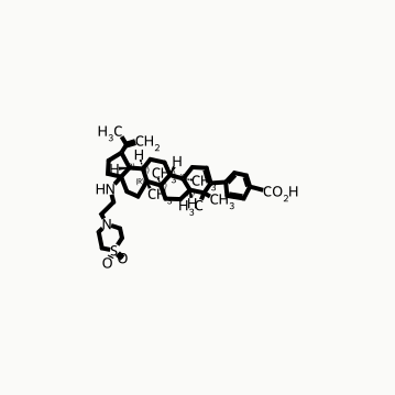 C=C(C)C1CCC2(NCCN3CCS(=O)(=O)CC3)CC[C@]3(C)[C@H](CC[C@@H]4[C@@]5(C)CC=C(c6ccc(C(=O)O)cc6)C(C)(C)[C@@H]5CC[C@]43C)[C@@H]12